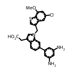 COc1cc(Cl)cc2c(Cn3cc(CC(=O)O)c4ccc(-c5cc(N)cc(N)c5)cc43)csc12